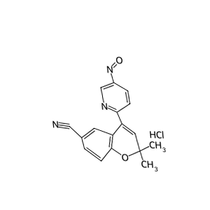 CC1(C)C=C(c2ccc(N=O)cn2)c2cc(C#N)ccc2O1.Cl